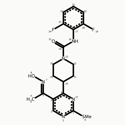 CSc1ncc(/C(C)=N/O)c(C2CCN(C(=O)Nc3c(F)cccc3F)CC2)n1